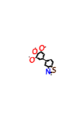 COc1cc(-c2ccc3s[c]nc3c2)cc(OC)c1OC